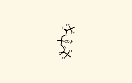 CCC(C)(CC)C(=O)OCC(C)(COC(=O)C(C)(CC)CC)C(=O)O